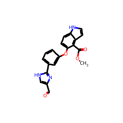 COC(=O)c1c(Oc2cccc(-c3nc(C=O)c[nH]3)c2)ccc2[nH]ccc12